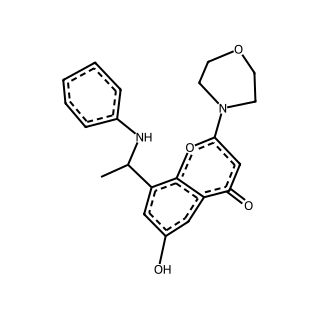 CC(Nc1ccccc1)c1cc(O)cc2c(=O)cc(N3CCOCC3)oc12